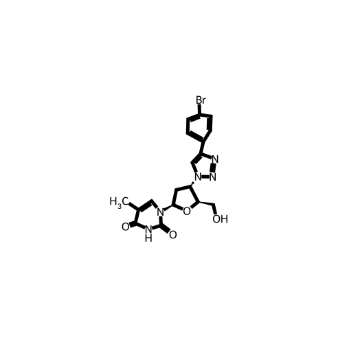 Cc1cn([C@H]2C[C@H](n3cc(-c4ccc(Br)cc4)nn3)[C@@H](CO)O2)c(=O)[nH]c1=O